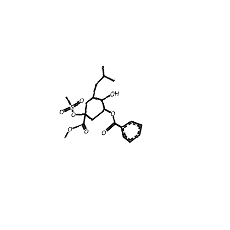 COC(=O)C1(OS(C)(=O)=O)CC(CC(C)C)C(O)C(OC(=O)c2ccccc2)C1